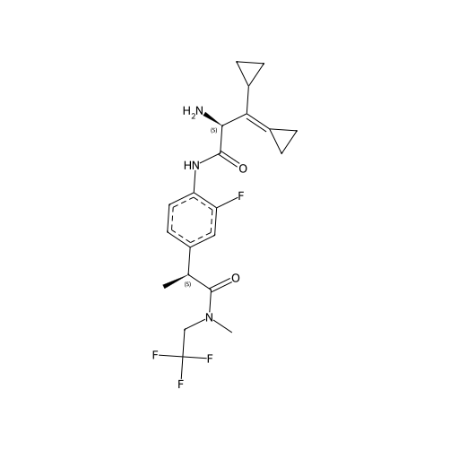 C[C@H](C(=O)N(C)CC(F)(F)F)c1ccc(NC(=O)[C@@H](N)C(=C2CC2)C2CC2)c(F)c1